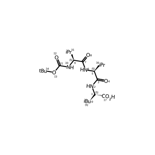 CC[C@H](C)[C@H](NC(=O)[C@@H](NC(=O)[C@@H](NC(=O)OC(C)(C)C)C(C)C)C(C)C)C(=O)O